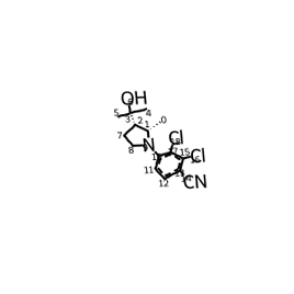 C[C@H]1[C@@H](C(C)(C)O)CCN1c1ccc(C#N)c(Cl)c1Cl